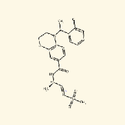 CC(c1ccccc1Cl)N1CCOc2cc(C(=O)N[C@H](C)/C=C/S(C)(=O)=O)ccc21